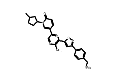 CNCc1ccc(-c2cc(-c3nc(-c4ccc(=O)n(C5CCC(C)C5)c4)cnc3N)on2)cc1